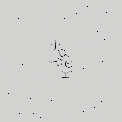 CC(C)(C)C(=O)N[C@@H]1CC[C@@H]2Oc3ccc(OC(F)(F)F)cc3[C@@]3(COC(N)=N3)[C@H]2C1